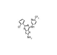 Nc1nc2c(Nc3ccc(C(F)(F)F)nc3)nc(-c3ccccc3Cl)nc2s1